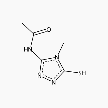 CC(=O)Nc1nnc(S)n1C